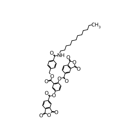 CCCCCCCCCCCCNC(=O)c1ccc(COC(=O)c2cc(OC(=O)c3ccc4c(c3)C(=O)OC4=O)ccc2OC(=O)c2ccc3c(c2)C(=O)OC3=O)cc1